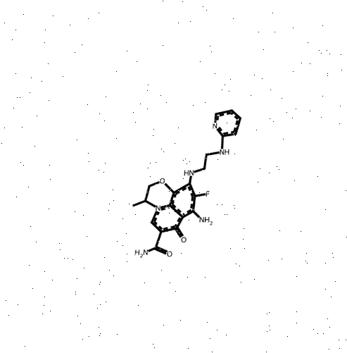 CC1COc2c(NCCNc3ccccn3)c(F)c(N)c3c(=O)c(C(N)=O)cn1c23